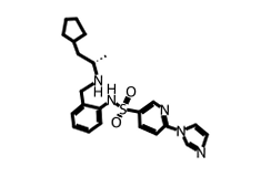 C[C@@H](CC1CCCC1)NCc1ccccc1NS(=O)(=O)c1ccc(-n2ccnc2)nc1